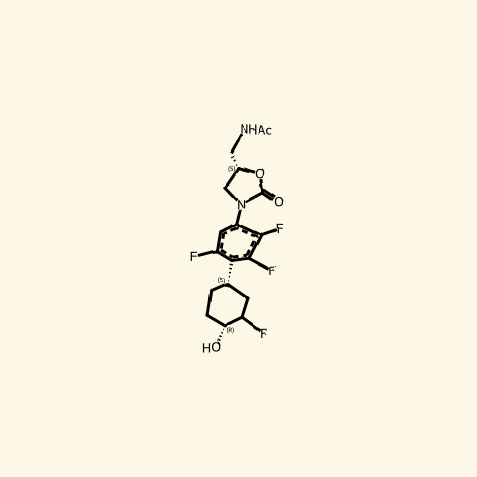 CC(=O)NC[C@H]1CN(c2cc(F)c([C@H]3CC[C@@H](O)C(F)C3)c(F)c2F)C(=O)O1